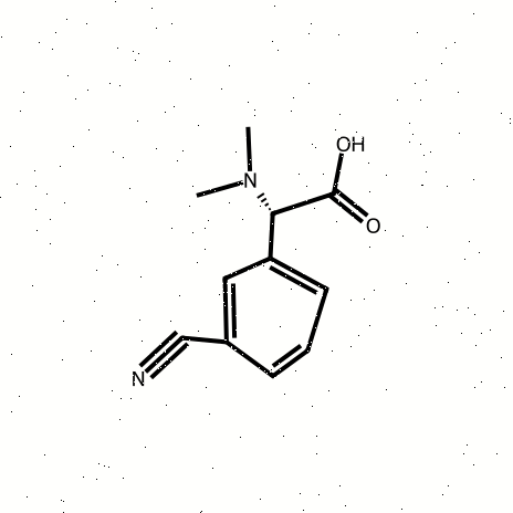 CN(C)[C@H](C(=O)O)c1cccc(C#N)c1